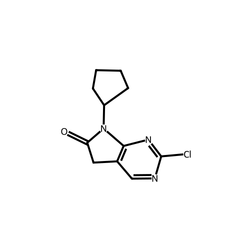 O=C1Cc2cnc(Cl)nc2N1C1CCCC1